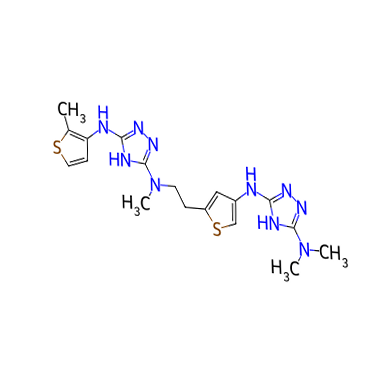 Cc1sccc1Nc1nnc(N(C)CCc2cc(Nc3nnc(N(C)C)[nH]3)cs2)[nH]1